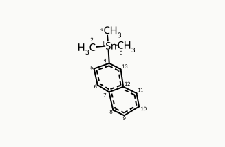 [CH3][Sn]([CH3])([CH3])[c]1ccc2ccccc2c1